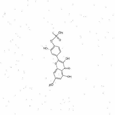 CP(=O)(O)Oc1ccc(-c2oc3cc(O)cc(O)c3c(=O)c2O)cc1O